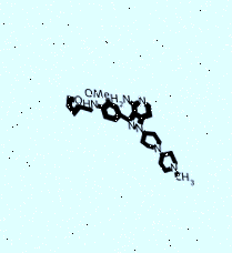 COc1cc(-c2nn(C3CCN(C4CCN(C)CC4)CC3)c3ccnc(N)c23)ccc1NCc1ccco1